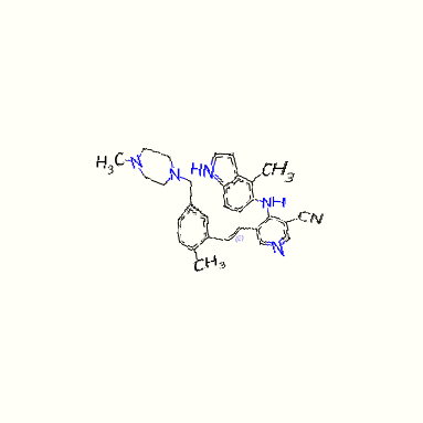 Cc1ccc(CN2CCN(C)CC2)cc1/C=C/c1cncc(C#N)c1Nc1ccc2[nH]ccc2c1C